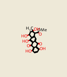 COC(=O)C1c2cc3c(c(O)c2C(O)CC1(C)O)C(=O)c1c(O)ccc(O)c1C3=O